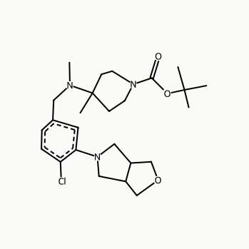 CN(Cc1ccc(Cl)c(N2CC3COCC3C2)c1)C1(C)CCN(C(=O)OC(C)(C)C)CC1